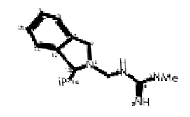 CNC(=N)NCN1Cc2ccccc2C1C(C)C